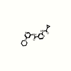 O=C(Nc1cncc(N2CCCCC2)c1)c1ccnc(NC(=O)C2CC2)c1